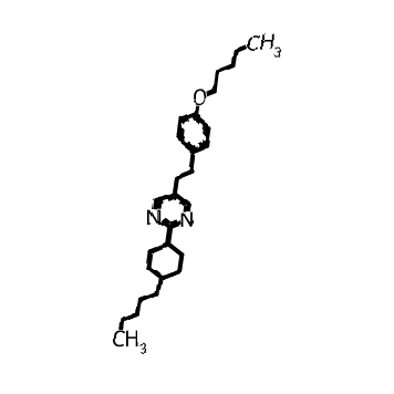 CCCCCOc1ccc(CCc2cnc(C3CCC(CCCCC)CC3)nc2)cc1